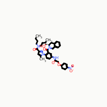 CCCCN(CCCC)C(=O)c1cc(C)n(-c2ccc(NC(=O)COc3ccc([N+](=O)[O-])cc3)cc2C(=O)N2Cc3ccccc3C[C@H]2CO)n1